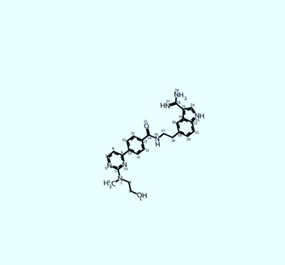 CN(CCO)c1nccc(-c2ccc(C(=O)NCCc3ccc4[nH]cc(C(=N)N)c4c3)cc2)n1